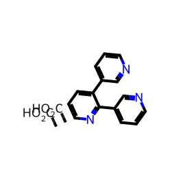 CC(=O)O.CC(=O)O.c1cncc(-c2cccnc2-c2cccnc2)c1